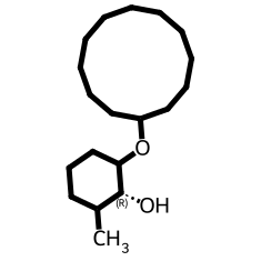 CC1CCCC(OC2CCCCCCCCCCC2)[C@@H]1O